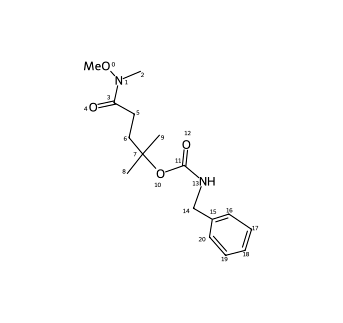 CON(C)C(=O)CCC(C)(C)OC(=O)NCc1ccccc1